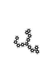 c1ccc(-c2cccc(-c3cccc(-c4ccc(-c5cc(-c6ccc(-c7cccc(-n8c9ccccc9c9ccccc98)c7)cc6)cc(-c6ccc(-c7cccc(-c8cccc9ccccc89)c7)cc6)n5)cc4)c3)c2)cc1